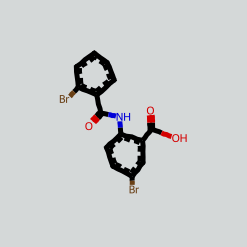 O=C(Nc1ccc(Br)cc1C(=O)O)c1ccccc1Br